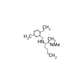 C=CCCC(NCc1cc(C)ccc1C=C)C(=C)NC